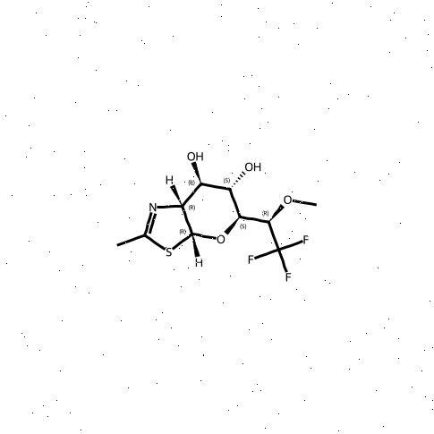 CO[C@H]([C@H]1O[C@@H]2SC(C)=N[C@@H]2[C@@H](O)[C@@H]1O)C(F)(F)F